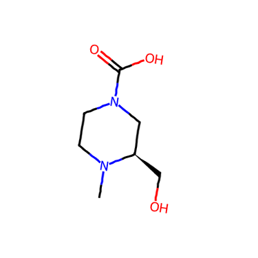 CN1CCN(C(=O)O)C[C@H]1CO